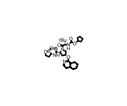 CC(C)(C)[C@H](NC(=O)OC1CCCC1)C(=O)N1C[C@H](Oc2nccc3ccccc23)C[C@H]1C(=O)N[C@@H]1CCOB1O